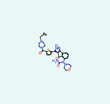 NC(=O)N(c1cccc2c1C(=O)c1c-2n[nH]c1-c1ccc(C(=O)N2CCN(CC3CC3)CC2)s1)N1CCOCC1